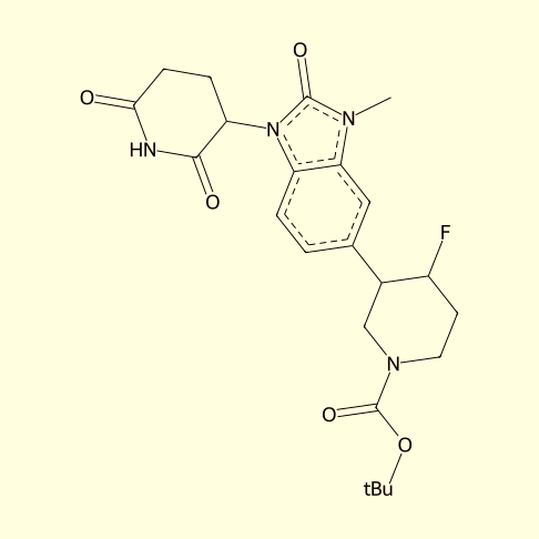 Cn1c(=O)n(C2CCC(=O)NC2=O)c2ccc(C3CN(C(=O)OC(C)(C)C)CCC3F)cc21